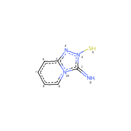 N=c1n(S)nc2ccccn12